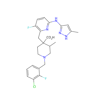 Cc1cc(Nc2ccc(F)c(CC3(C(=O)O)CCN(Cc4cccc(Cl)c4F)CC3C)n2)n[nH]1